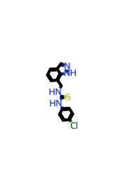 S=C(NCc1cccc2cn[nH]c12)Nc1ccc(Cl)cc1